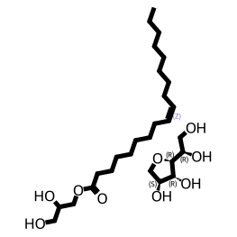 CCCCCCCC/C=C\CCCCCCCC(=O)OCC(O)CO.OC[C@@H](O)[C@H]1OC[C@H](O)[C@H]1O